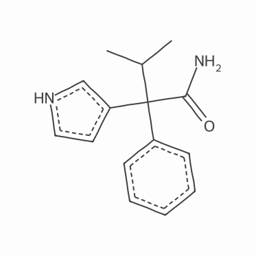 CC(C)C(C(N)=O)(c1ccccc1)c1cc[nH]c1